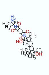 CCC(C)(C)c1c(C)cc(Cc2cc(C)c(-n3c(=O)c4cc5c(=O)n(C(C)(CC)C(C)N)c(=O)c5cc4c3=O)c(C(O)(C(F)(F)F)C(F)(F)F)c2)cc1C(O)(C(F)(F)F)C(F)(F)F